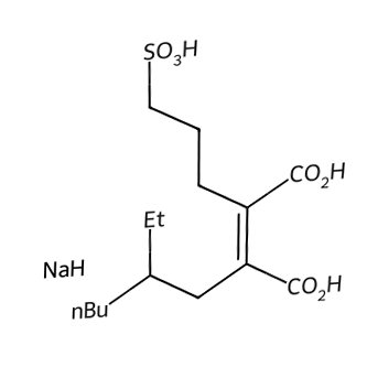 CCCCC(CC)C/C(C(=O)O)=C(\CCCS(=O)(=O)O)C(=O)O.[NaH]